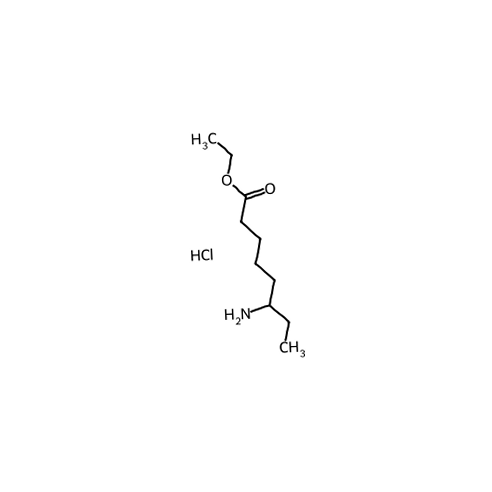 CCOC(=O)CCCCC(N)CC.Cl